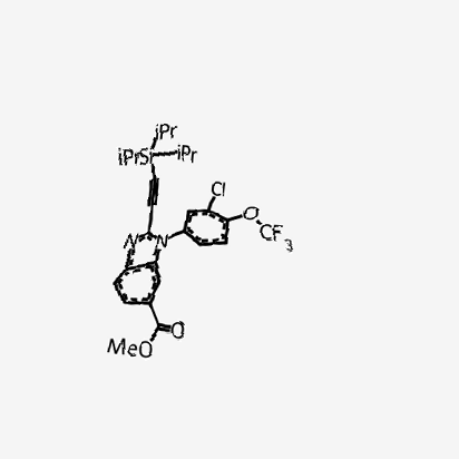 COC(=O)c1ccc2nc(C#C[Si](C(C)C)(C(C)C)C(C)C)n(-c3ccc(OC(F)(F)F)c(Cl)c3)c2c1